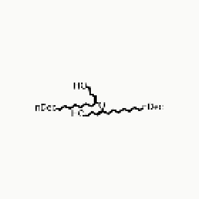 CCCCCCCCCCCCCCCCCC(=CCCO)OC(=CCCO)CCCCCCCCCCCCCCCCC